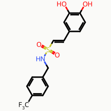 O=S(=O)(/C=C/c1ccc(O)c(O)c1)NCc1ccc(C(F)(F)F)cc1